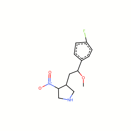 COC(CC1CNCC1[N+](=O)[O-])c1ccc(F)cc1